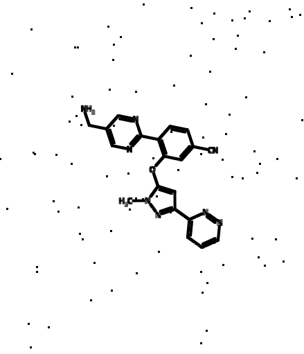 Cn1nc(-c2cccnn2)cc1Oc1cc(C#N)ccc1-c1ncc(CN)cn1